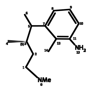 CNCC[C@H](C)C(C)c1cccc(N)c1C